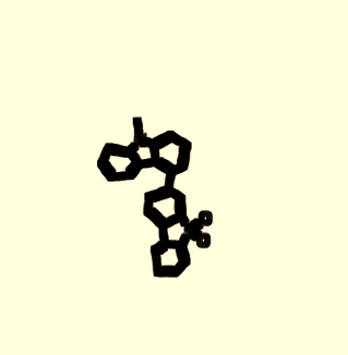 Cn1c2ccccc2c2c(-c3ccc4c(c3)S(=O)(=O)c3ccccc3-4)cccc21